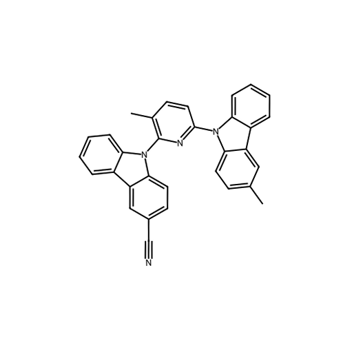 Cc1ccc2c(c1)c1ccccc1n2-c1ccc(C)c(-n2c3ccccc3c3cc(C#N)ccc32)n1